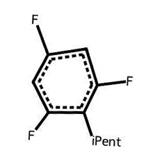 CCCC(C)c1c(F)cc(F)cc1F